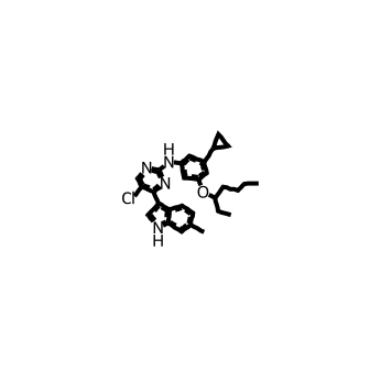 CCCCC(CC)Oc1cc(Nc2ncc(Cl)c(-c3c[nH]c4cc(C)ccc34)n2)cc(C2CC2)c1